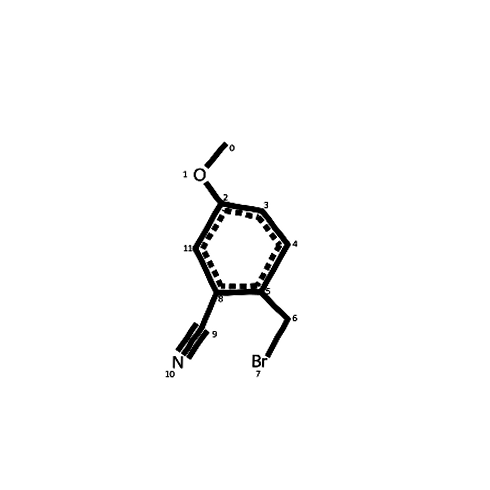 COc1ccc(CBr)c(C#N)c1